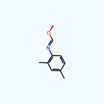 COC=Nc1ccc(C)cc1C